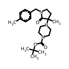 Cc1ccc(CN2CCC(C)(N3CCN(C(=O)OC(C)(C)C)CC3)C2=O)cc1